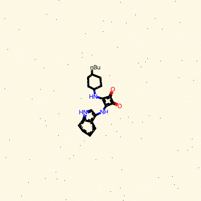 CCCCC1CCC(Nc2c(Nc3c[nH]c4ccccc34)c(=O)c2=O)CC1